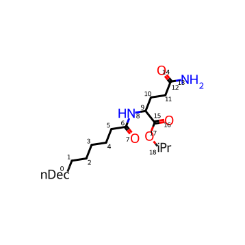 CCCCCCCCCCCCCCCC(=O)NC(CCC(N)=O)C(=O)OC(C)C